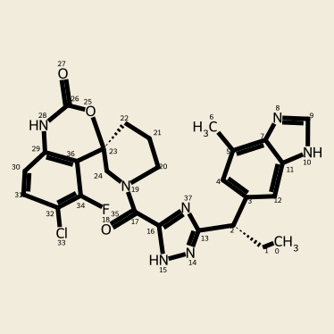 CC[C@@H](c1cc(C)c2nc[nH]c2c1)c1n[nH]c(C(=O)N2CCC[C@@]3(C2)OC(=O)Nc2ccc(Cl)c(F)c23)n1